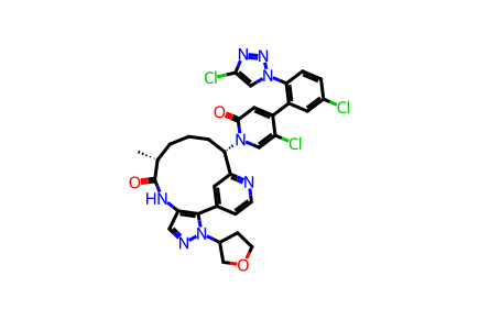 C[C@@H]1CCC[C@H](n2cc(Cl)c(-c3cc(Cl)ccc3-n3cc(Cl)nn3)cc2=O)c2cc(ccn2)-c2c(cnn2C2CCOC2)NC1=O